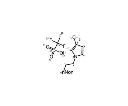 CCCCCCCCCCCn1ccc(C)c1.O=S(=O)(O)C(F)(F)F